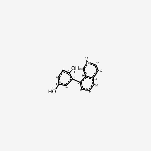 Oc1ccc(O)c(-c2cccc3ccncc23)c1